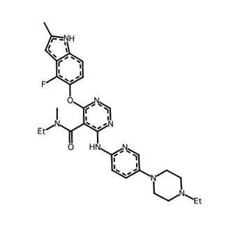 CCN1CCN(c2ccc(Nc3ncnc(Oc4ccc5[nH]c(C)cc5c4F)c3C(=O)N(C)CC)nc2)CC1